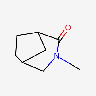 CN1CC2CCC(C2)C1=O